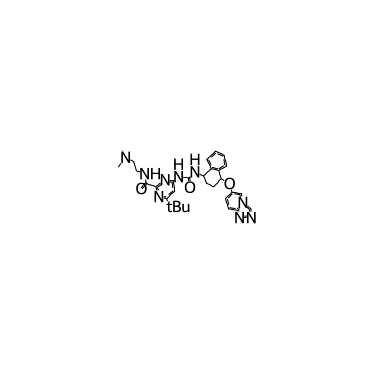 CN(C)CCNC(=O)c1nc(NC(=O)NC2CCC(Oc3ccc4nncn4c3)c3ccccc32)cc(C(C)(C)C)n1